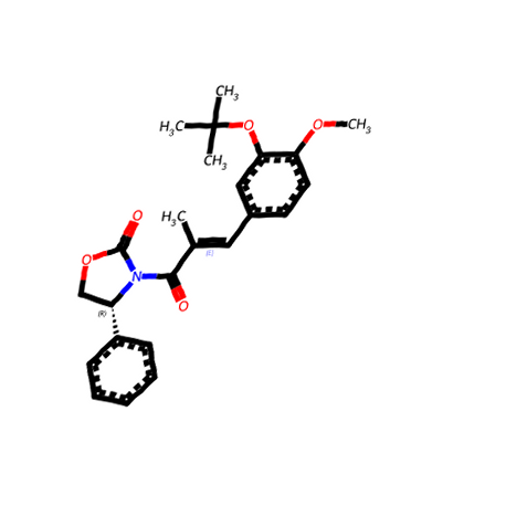 COc1ccc(/C=C(\C)C(=O)N2C(=O)OC[C@H]2c2ccccc2)cc1OC(C)(C)C